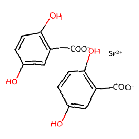 O=C([O-])c1cc(O)ccc1O.O=C([O-])c1cc(O)ccc1O.[Sr+2]